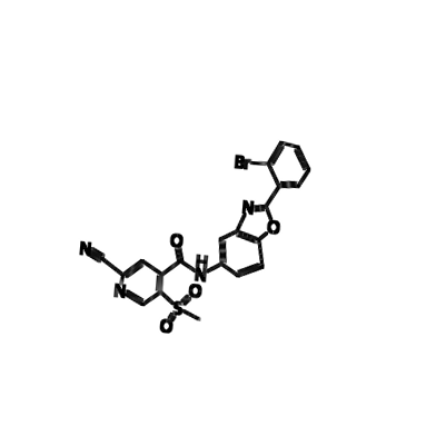 CS(=O)(=O)c1cnc(C#N)cc1C(=O)Nc1ccc2oc(-c3ccccc3Br)nc2c1